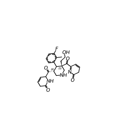 Cc1c(F)cccc1C1[C@@H](C(=O)C2C=CCC(=O)N2)CNC[C@@]1(CCO)C(=O)C1=NC(=O)CC=C1